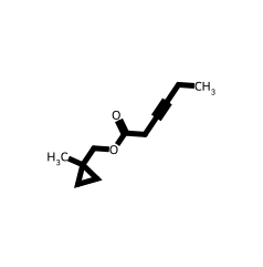 CCC#CCC(=O)OCC1(C)CC1